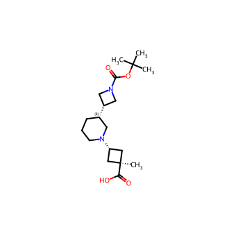 CC(C)(C)OC(=O)N1CC([C@H]2CCCN([C@H]3C[C@](C)(C(=O)O)C3)C2)C1